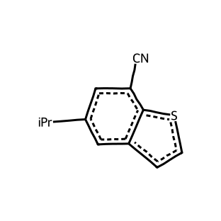 CC(C)c1cc(C#N)c2sccc2c1